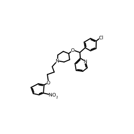 O=[N+]([O-])c1ccccc1OCCCN1CCC(OC(c2ccc(Cl)cc2)c2ccccn2)CC1